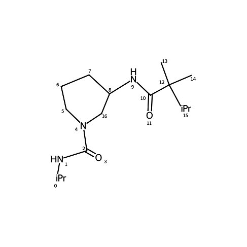 CC(C)NC(=O)N1CCCC(NC(=O)C(C)(C)C(C)C)C1